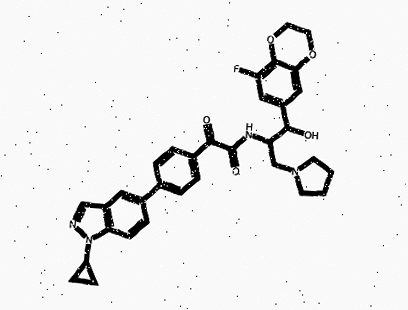 O=C(NC(CN1CCCC1)C(O)c1cc(F)c2c(c1)OCCO2)C(=O)c1ccc(-c2ccc3c(cnn3C3CC3)c2)cc1